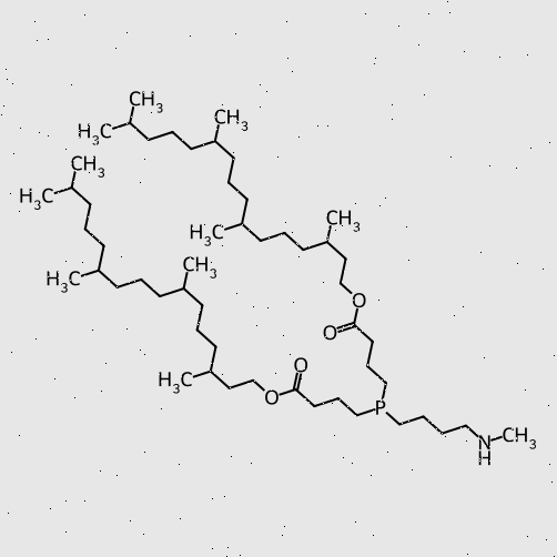 CNCCCCP(CCCC(=O)OCCC(C)CCCC(C)CCCC(C)CCCC(C)C)CCCC(=O)OCCC(C)CCCC(C)CCCC(C)CCCC(C)C